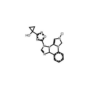 OC1(c2noc(N3C=NC4c5ccccc5N5CN(Cl)C=C5N43)n2)CC1